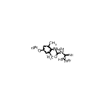 CCCNC(=N)NC(=O)Nc1c(C)cc(OCCC)cc1C